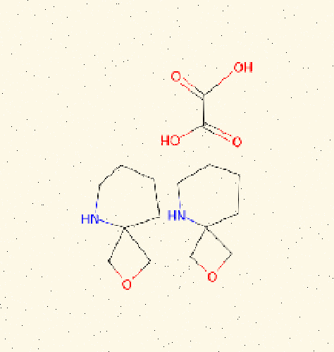 C1CCC2(COC2)NC1.C1CCC2(COC2)NC1.O=C(O)C(=O)O